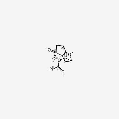 CC(C)C(=O)OC1C2CC3C(O2)C1CS3(=O)=O